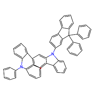 c1ccc(N(c2ccccc2)c2ccccc2-c2ccc3c4ccccc4n(-c4ccc5c(c4)C(c4ccccc4)(c4ccccc4)c4ccccc4-5)c3c2)cc1